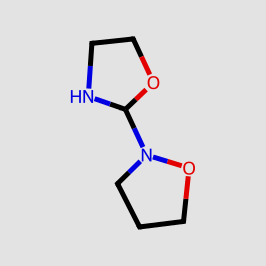 C1CON([C]2NCCO2)C1